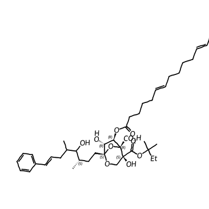 CC=CCCCCC=CCCCCC(=O)O[C@@H]1[C@@H](O)[C@@]2(CC[C@H](C)C(O)C(C)CC=Cc3ccccc3)OC[C@@](O)(C(=O)OC(C)(C)CC)[C@]1(C(=O)O)O2